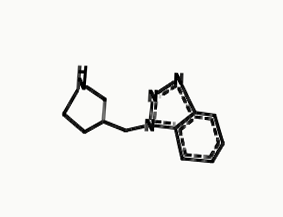 c1ccc2c(c1)nnn2CC1CCNC1